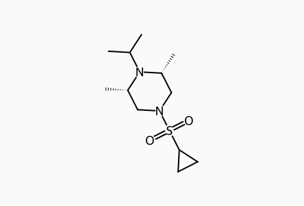 CC(C)N1[C@H](C)CN(S(=O)(=O)C2CC2)C[C@@H]1C